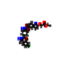 CCOC(=O)COc1ccc2cc(S(=O)(=O)N[C@H]3CC[C@H](C(=O)N[C@H](C)c4ccc(F)cc4)CC3)ccc2n1